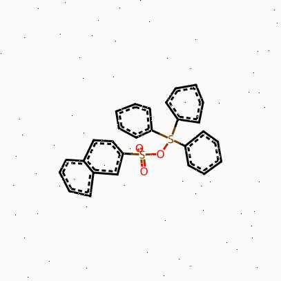 O=S(=O)(OS(c1ccccc1)(c1ccccc1)c1ccccc1)c1ccc2ccccc2c1